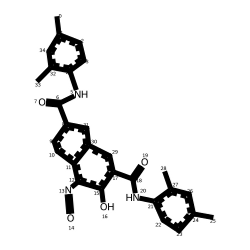 Cc1ccc(NC(=O)c2ccc3c(N=O)c(O)c(C(=O)Nc4ccc(C)cc4C)cc3c2)c(C)c1